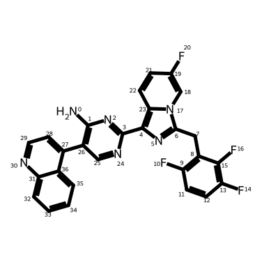 Nc1nc(-c2nc(Cc3c(F)ccc(F)c3F)n3cc(F)ccc23)ncc1-c1ccnc2ccccc12